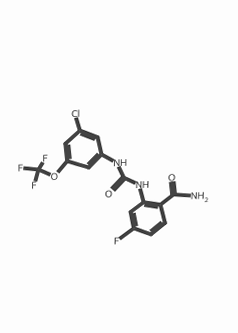 NC(=O)c1ccc(F)cc1NC(=O)Nc1cc(Cl)cc(OC(F)(F)F)c1